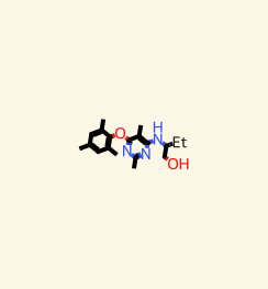 CCC(CO)Nc1nc(C)nc(Oc2c(C)cc(C)cc2C)c1C